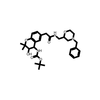 CC(C)(C)OC(=O)NC1c2cc(CC(=O)NCC3CN(Cc4ccccc4)CCO3)ccc2OC(C)(C)C1O